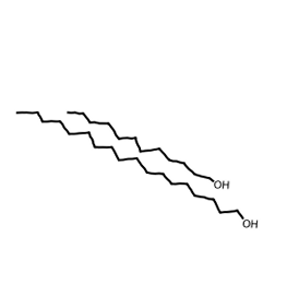 CCCCCCCCCCCCCCCCCCO.CCCCCCCCCCCCO